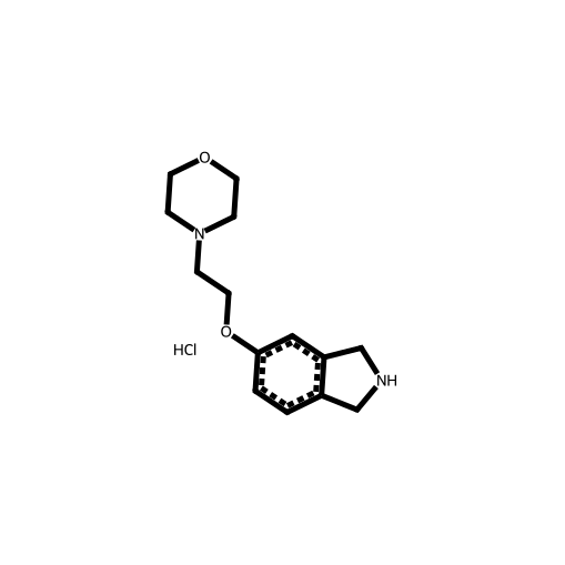 Cl.c1cc2c(cc1OCCN1CCOCC1)CNC2